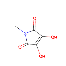 CN1C(=O)C(O)=C(O)C1=O